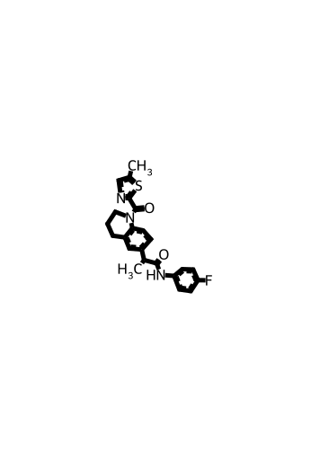 Cc1cnc(C(=O)N2CCCc3cc(C(C)C(=O)Nc4ccc(F)cc4)ccc32)s1